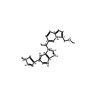 COCc1ccc2ccc(C(C)n3nnc4ncc(-c5cnn(C)c5)nc43)cn12